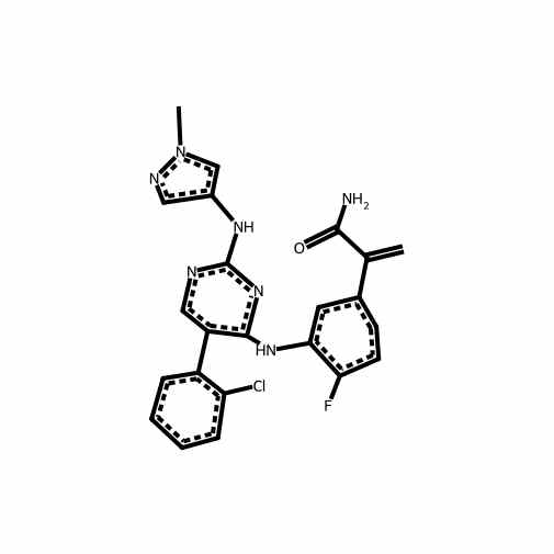 C=C(C(N)=O)c1ccc(F)c(Nc2nc(Nc3cnn(C)c3)ncc2-c2ccccc2Cl)c1